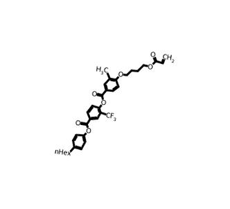 C=CC(=O)OCCCCOc1ccc(C(=O)Oc2ccc(C(=O)Oc3ccc(CCCCCC)cc3)cc2C(F)(F)F)cc1C